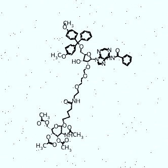 COc1ccc(C(OC[C@H]2O[C@@H](n3cnc4c(NC(=O)c5ccccc5)ncnc43)[C@H](OCOCCOCCNC(=O)CCCCO[C@H]3O[C@@H](COC(C)=O)[C@@H](OC(C)=O)[C@@H](OC(C)=O)[C@@H]3NC(C)=O)[C@@H]2O)(c2ccccc2)c2ccc(OC)cc2)cc1